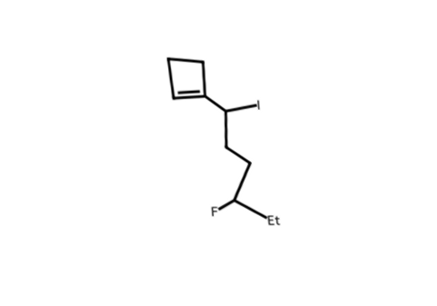 CCC(F)CCC(I)C1=CCC1